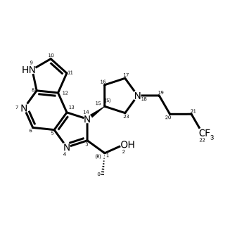 C[C@@H](O)c1nc2cnc3[nH]ccc3c2n1[C@H]1CCN(CCCC(F)(F)F)C1